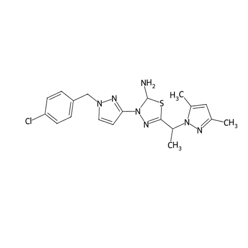 Cc1cc(C)n(C(C)C2=NN(c3ccn(Cc4ccc(Cl)cc4)n3)C(N)S2)n1